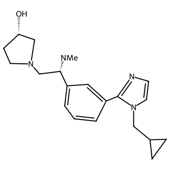 CN[C@@H](CN1CC[C@H](O)C1)c1cccc(-c2nccn2CC2CC2)c1